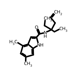 C=CCC(CC)(CC)NC(=O)c1cc2c(C)cc(C)cc2[nH]1